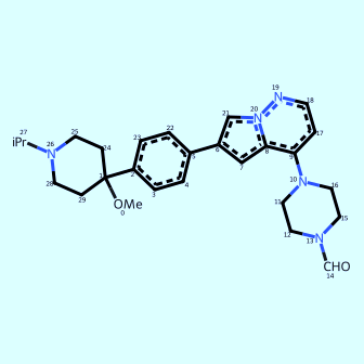 COC1(c2ccc(-c3cc4c(N5CCN(C=O)CC5)ccnn4c3)cc2)CCN(C(C)C)CC1